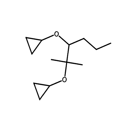 CCCC(OC1CC1)C(C)(C)OC1CC1